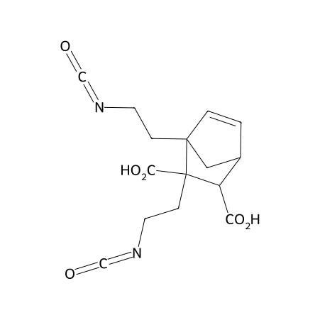 O=C=NCCC12C=CC(C1)C(C(=O)O)C2(CCN=C=O)C(=O)O